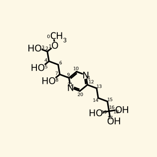 COC(O)C(O)CC(O)c1cnc(CCCC(O)(O)O)cn1